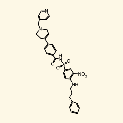 O=C(NS(=O)(=O)c1ccc(NCCSc2ccccc2)c([N+](=O)[O-])c1)c1ccc(C2=CCN(Cc3ccncc3)CC2)cc1